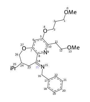 COCCCOc1cc2c(nc1CCOC)/C(=N/Cc1ccccc1)CC(C(C)C)CO2